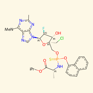 CNc1nc(C)nc2c1ncn2[C@@H]1O[C@](CCl)(COP(=S)(N[C@H](C)C(=O)OC(C)C)Oc2cccc3ccccc23)[C@@H](O)[C@@H]1F